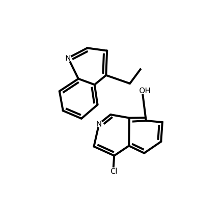 CCc1ccnc2ccccc12.Oc1cccc2c(Cl)cncc12